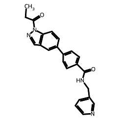 CCC(=O)n1ncc2cc(-c3ccc(C(=O)NCc4cccnc4)cc3)ccc21